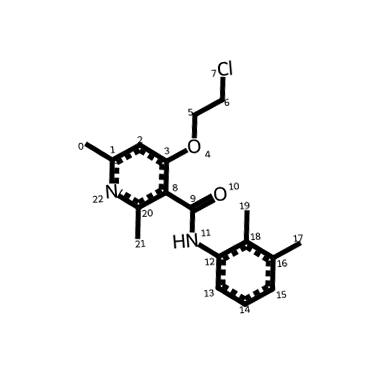 Cc1cc(OCCCl)c(C(=O)Nc2cccc(C)c2C)c(C)n1